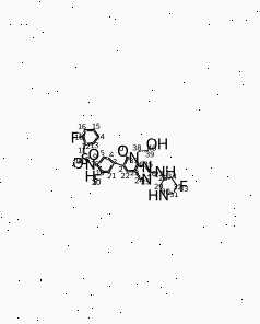 O=c1c(-c2ccc(NS(=O)(=O)Cc3ccccc3F)c(F)c2)cc2cnc(N[C@@H]3CNC[C@@H](F)C3)nc2n1CCO